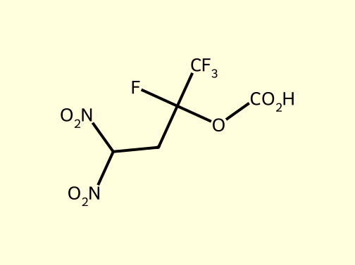 O=C(O)OC(F)(CC([N+](=O)[O-])[N+](=O)[O-])C(F)(F)F